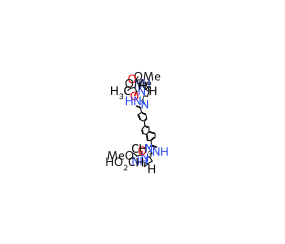 COC(=O)N[C@H](C(=O)N1[C@@H]2C[C@@H]2C[C@H]1c1nc(-c2ccc(-c3ccc4cc(-c5c[nH]c([C@@H]6C[C@H]7C[C@H]7N6C(=O)[C@@H](NC(=O)O)[C@@H](C)OC)n5)ccc4c3)cc2)c[nH]1)[C@@H](C)OC